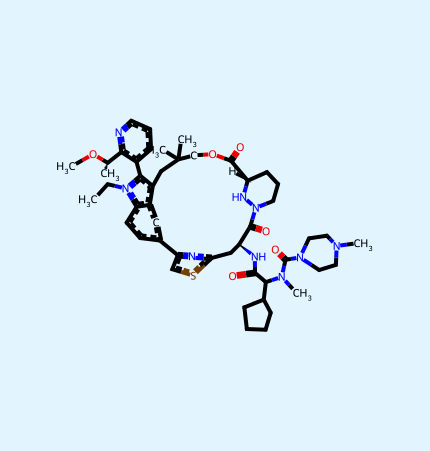 CCn1c(-c2cccnc2[C@H](C)OC)c2c3cc(ccc31)-c1csc(n1)C[C@H](NC(=O)C(C1CCCC1)N(C)C(=O)N1CCN(C)CC1)C(=O)N1CCC[C@H](N1)C(=O)OCC(C)(C)C2